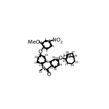 COc1cc([N+](=O)[O-])ccc1Oc1ccc(N(C)C(=O)c2ccc(OC34CCCC(CC3)N4)cc2)cc1